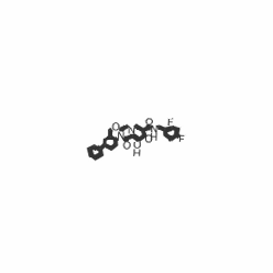 O=C(NCc1ccc(F)cc1F)c1cn2c(c(O)c1=O)C(=O)N1C(C2)OCC2CC(c3ccccc3)CCC21